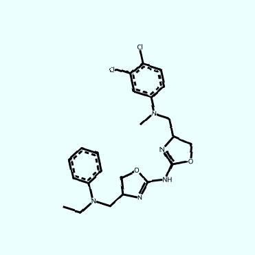 CCN(CC1COC(NC2=NC(CN(C)c3ccc(Cl)c(Cl)c3)CO2)=N1)c1ccccc1